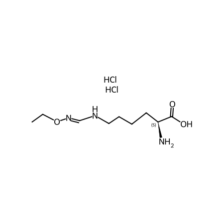 CCON=CNCCCC[C@H](N)C(=O)O.Cl.Cl